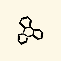 C1=CB2c3ccccc3-c3ccccc3N2C=C1